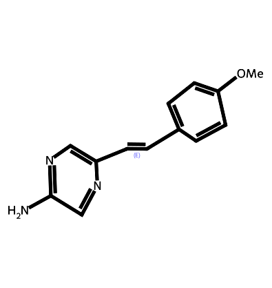 COc1ccc(/C=C/c2cnc(N)cn2)cc1